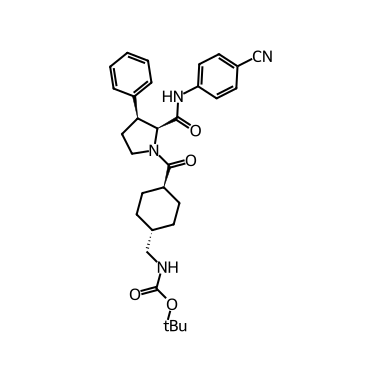 CC(C)(C)OC(=O)NC[C@H]1CC[C@H](C(=O)N2CC[C@@H](c3ccccc3)[C@H]2C(=O)Nc2ccc(C#N)cc2)CC1